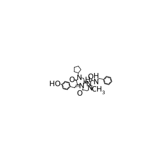 CN1CC(=O)N2[C@@H](Cc3ccc(O)cc3)C(=O)N(C3CCCC3)C[C@@H]2N1C(=O)NCc1ccccc1